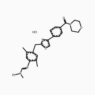 CCN(C)C=Nc1cc(C)c(Cc2nc(-c3ccc(C(=O)N4CCOCC4)cc3)cs2)cc1C.Cl